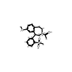 COc1ccc2c(c1)C(c1ccccc1S(C)(=O)=O)CN(C(C)=O)CC2